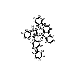 CC1(C)c2ccccc2-c2ccc3c4ccccc4n(C4Nc5ccccc5C(c5ccc(-c6ccccc6)cc5)N4)c3c21